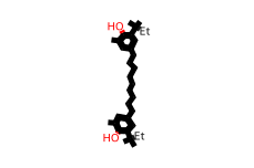 CCC(C)(C)c1cc(CCCCCCCCCc2cc(C)c(O)c(C(C)(C)CC)c2)cc(C)c1O